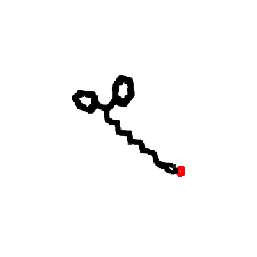 O=C=CCCCCCCCCC(c1ccccc1)c1ccccc1